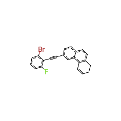 Fc1cccc(Br)c1C#Cc1ccc2ccc3c(c2c1)C=CCC3